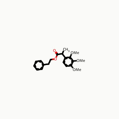 COc1ccc(C(C)C(=O)OCCc2ccccc2)c(OC)c1OC